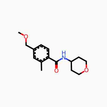 COCc1ccc(C(=O)NC2CCOCC2)c(C)c1